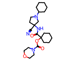 N#CC1(NC(=O)C2(OC(=O)N3CCOCC3)CCCCC2)CCN(C2CCCCC2)C1